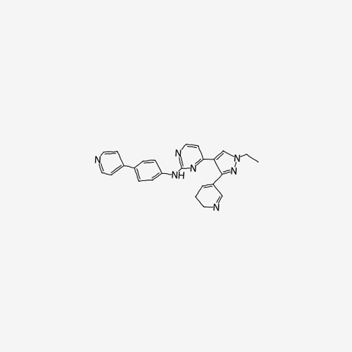 CCn1cc(-c2ccnc(Nc3ccc(-c4ccncc4)cc3)n2)c(C2=CCCN=C2)n1